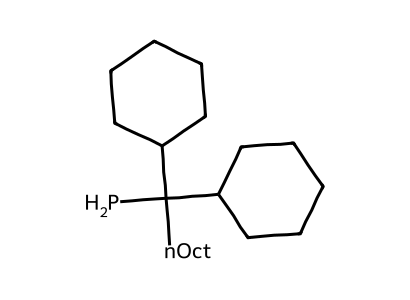 CCCCCCCCC(P)(C1CCCCC1)C1CCCCC1